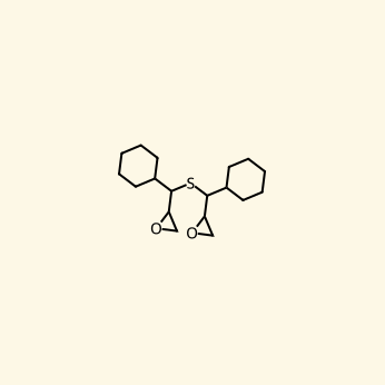 C1CCC(C(SC(C2CCCCC2)C2CO2)C2CO2)CC1